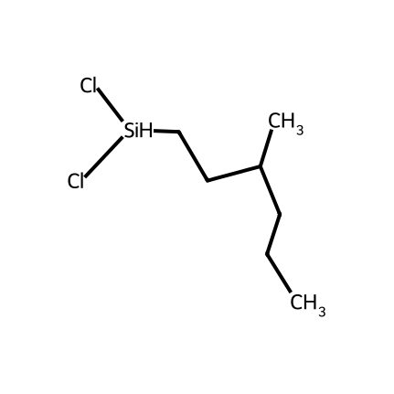 CCCC(C)CC[SiH](Cl)Cl